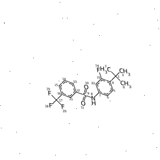 CC(C)(C)c1ccc(NS(=O)(=O)c2cccc(C(F)(F)F)c2)cc1F